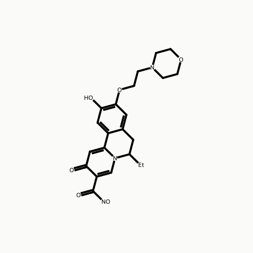 CCC1Cc2cc(OCCN3CCOCC3)c(O)cc2-c2cc(=O)c(C(=O)N=O)cn21